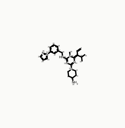 C=C/C(=C1/N=C(N2CCC(N)CC2)N=C(NCc2cccc(-n3cccn3)c2)N1C)C(C)C